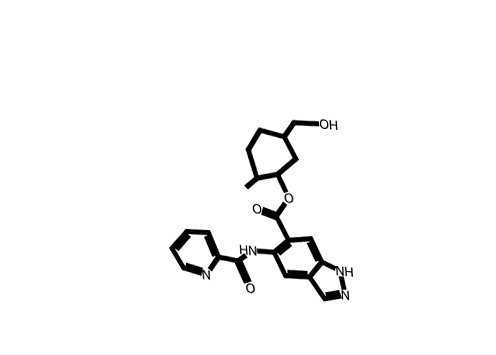 CC1CCC(CO)CC1OC(=O)c1cc2[nH]ncc2cc1NC(=O)c1ccccn1